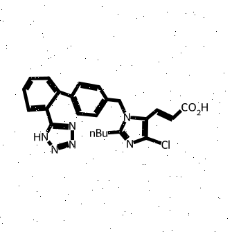 CCCCc1nc(Cl)c(/C=C/C(=O)O)n1Cc1ccc(-c2ccccc2-c2nnn[nH]2)cc1